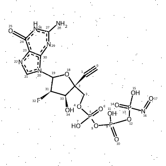 C#C[C@]1(COP(=O)(O)OP(=O)(O)OP(=O)(O)N=O)OC(n2cnc3c(=O)[nH]c(N)nc32)[C@H](F)[C@@H]1O